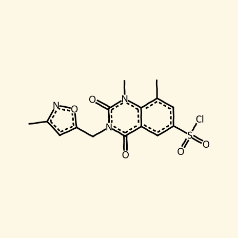 Cc1cc(Cn2c(=O)c3cc(S(=O)(=O)Cl)cc(C)c3n(C)c2=O)on1